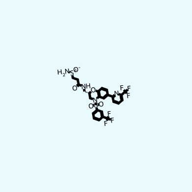 N[S+]([O-])CCC(=O)NC[C@H]1CN(S(=O)(=O)c2cccc(C(F)(F)F)c2)c2cc(-c3cccc(C(F)(F)F)n3)ccc2O1